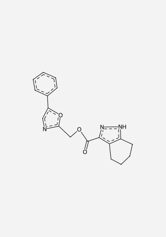 O=C(OCc1ncc(-c2ccccc2)o1)c1n[nH]c2c1CCCC2